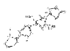 COc1cc(-c2ccc(N3CCCC3C)nn2)ccc1-n1cnc(C)c1.Cl